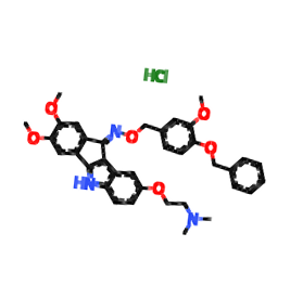 COc1cc2c(cc1OC)-c1[nH]c3ccc(OCCN(C)C)cc3c1C2=NOCc1ccc(OCc2ccccc2)c(OC)c1.Cl